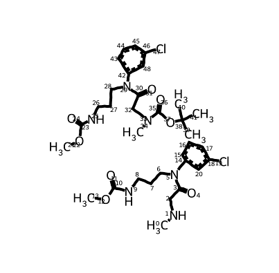 CNCC(=O)N(CCCNC(=O)OC)c1cccc(Cl)c1.COC(=O)NCCCN(C(=O)CN(C)C(=O)OC(C)(C)C)c1cccc(Cl)c1